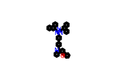 c1ccc2c(c1)cc(-c1nc(-c3ccc(-c4ccc(-c5nc6ccccc6c6c5ccc5c7ccccc7oc56)cc4)cc3)nc(-c3cc4ccccc4c4ccccc34)n1)c1ccccc12